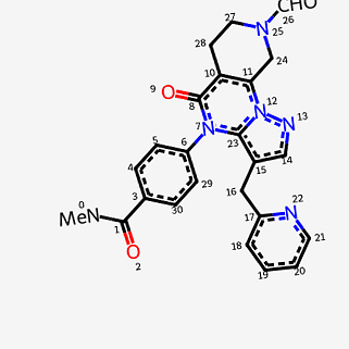 CNC(=O)c1ccc(-n2c(=O)c3c(n4ncc(Cc5ccccn5)c24)CN(C=O)CC3)cc1